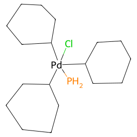 [PH2][Pd]([Cl])([CH]1CCCCC1)([CH]1CCCCC1)[CH]1CCCCC1